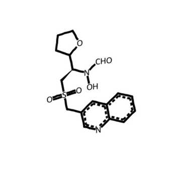 O=CN(O)[C@@H](CS(=O)(=O)Cc1cnc2ccccc2c1)C1CCCO1